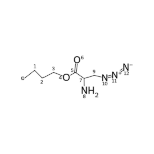 CCCCOC(=O)C(N)CN=[N+]=[N-]